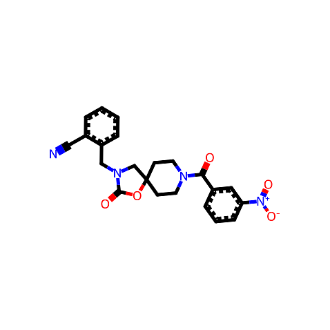 N#Cc1ccccc1CN1CC2(CCN(C(=O)c3cccc([N+](=O)[O-])c3)CC2)OC1=O